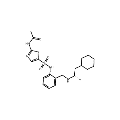 CC(=O)Nc1ncc(S(=O)(=O)Nc2ccccc2CN[C@@H](C)CC2CCCCC2)s1